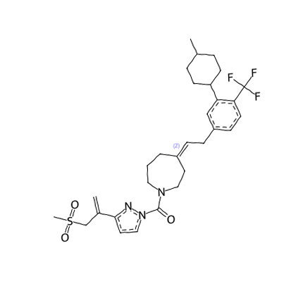 C=C(CS(C)(=O)=O)c1ccn(C(=O)N2CCC/C(=C/Cc3ccc(C(F)(F)F)c(C4CCC(C)CC4)c3)CC2)n1